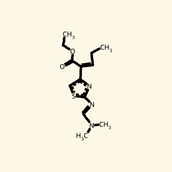 CCC=C(C(=O)OCC)c1csc(N=CN(C)C)n1